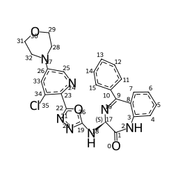 O=C1Nc2ccccc2C(c2ccccc2)=N[C@@H]1Nc1nnc(-c2ncc(N3CCOCC3)cc2Cl)o1